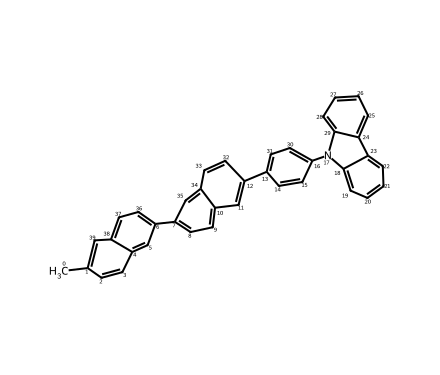 Cc1ccc2cc(-c3ccc4cc(-c5ccc(-n6c7ccccc7c7ccccc76)cc5)ccc4c3)ccc2c1